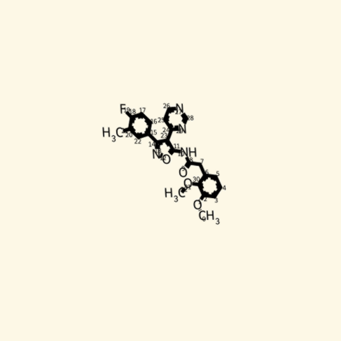 COc1cccc(CC(=O)Nc2onc(-c3ccc(F)c(C)c3)c2-c2ccncn2)c1OC